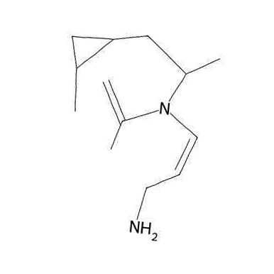 C=C(C)N(/C=C\CN)C(C)CC1CC1C